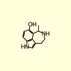 CC1NCCc2c[nH]c3ccc(O)c1c23